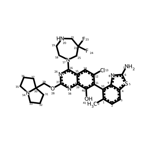 Cc1ccc2sc(N)nc2c1-c1c(Cl)cc2c(N3CCNCC(F)(F)C3)nc(OCC34CCCN3CCC4)nc2c1O